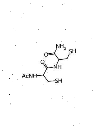 CC(=O)NC(CS)C(=O)NC(CS)C(N)=O